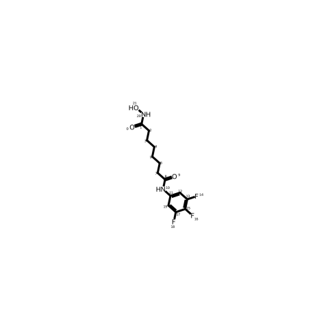 O=C(CCCCCCC(=O)Nc1cc(F)c(F)c(F)c1)NO